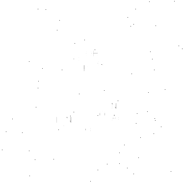 CC(=O)[N+]12CCC(CC1)OP(=O)(O)C/C=C\C(N)C(=O)O2